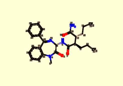 CN1C(=O)[C@@H](NC(=O)[C@H](CCC(F)(F)F)[C@@H](CCC(F)(F)F)C(N)=O)N=C(c2ccccc2)c2ccccc21